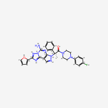 C[C@@](C(=O)N1CCN(c2ccc(F)cc2)CC1)(c1ccccc1)n1ncc2c1nc(N)n1nc(-c3ccco3)nc21